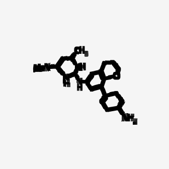 CNC1CC(C)NC(Nc2cc3c(c(C4=CCC(N)CC4)c2)OCCC3)N1